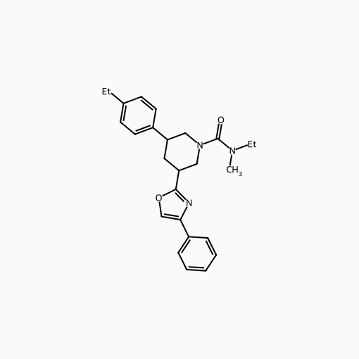 CCc1ccc(C2CC(c3nc(-c4ccccc4)co3)CN(C(=O)N(C)CC)C2)cc1